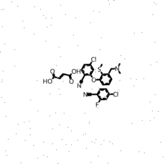 CSc1c(CN(C)C)cccc1Oc1cc(Cl)ccc1C#N.N#Cc1ccc(Cl)cc1F.O=C(O)C=CC(=O)O